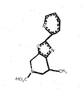 CC1CN(C(=O)O)Cc2oc(-c3ccccn3)nc21